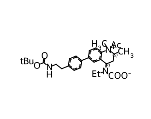 CCN(C(=O)[O-])[C@@H]1C[C@H](C)[N+](C)(C(C)=O)c2ccc(-c3ccc(CCNC(=O)OC(C)(C)C)cc3)cc21